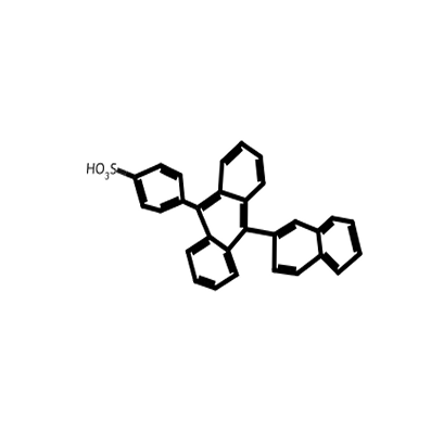 O=S(=O)(O)c1ccc(-c2c3ccccc3c(-c3ccc4ccccc4c3)c3ccccc23)cc1